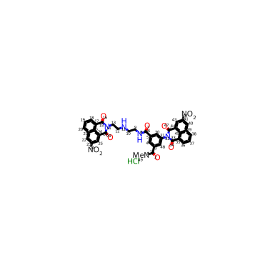 CNC(=O)c1cc(C(=O)NCCNCCN2C(=O)c3cccc4cc([N+](=O)[O-])cc(c34)C2=O)cc(N2C(=O)c3cccc4cc([N+](=O)[O-])cc(c34)C2=O)c1.Cl